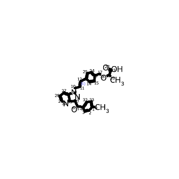 Cc1ccc(C(=O)c2nn(C/C=C/c3ccc(COC(C)C(=O)O)cc3)c3cccnc23)cc1